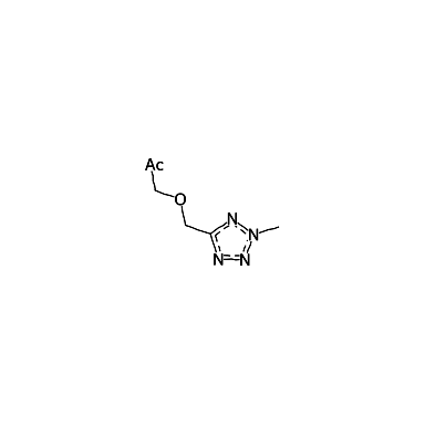 CC(=O)COCc1nnn(C)n1